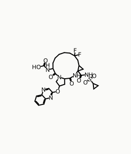 O=C(O)NC1CCCCCC(F)(F)CC2CC2(C(=O)NS(=O)(=O)C2CC2)NC(=O)C2CC(Oc3cnc4ccccc4n3)CN2C1=O